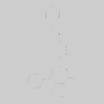 CC(NC(=O)Cc1ccccc1)C(=O)N[C@H]1N=C(c2ccccc2)c2ccccc2N(C)C1=O